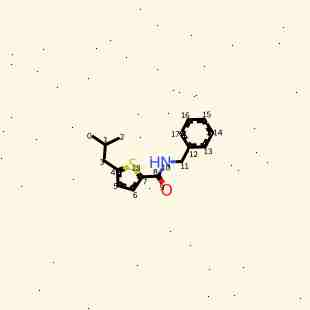 CC(C)Cc1ccc(C(=O)NCc2ccccc2)s1